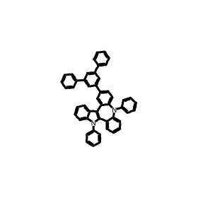 c1ccc(-c2cc(-c3ccccc3)cc(-c3ccc4c(c3)-c3c(n(-c5ccccc5)c5ccccc35)-c3ccccc3N4c3ccccc3)c2)cc1